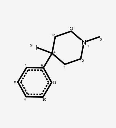 CN1CCC(I)(c2ccccc2)CC1